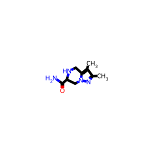 Cc1nn2c(c1C)CNC(C(N)=O)C2